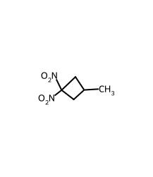 CC1CC([N+](=O)[O-])([N+](=O)[O-])C1